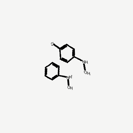 ONc1ccc(Cl)cc1.ONc1ccccc1